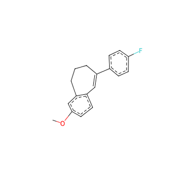 COc1ccc2c(c1)CCCC(c1ccc(F)cc1)=C2